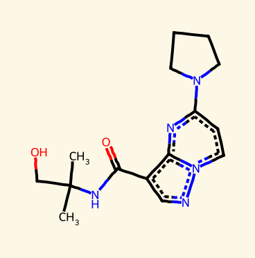 CC(C)(CO)NC(=O)c1cnn2ccc(N3CCCC3)nc12